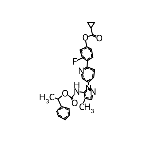 Cc1cnn(-c2ccc(-c3ccc(OC(=O)C4CC4)cc3F)nc2)c1NC(=O)OC(C)c1ccccc1